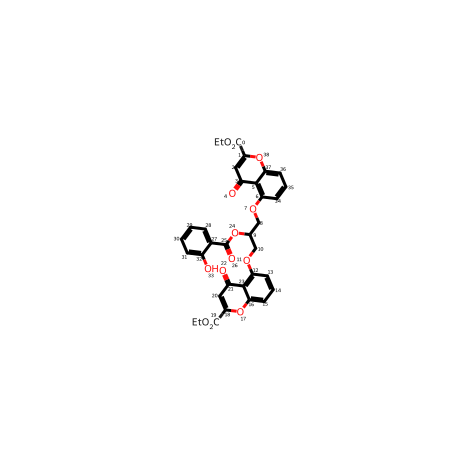 CCOC(=O)c1cc(=O)c2c(OCC(COc3cccc4oc(C(=O)OCC)cc(=O)c34)OC(=O)c3ccccc3O)cccc2o1